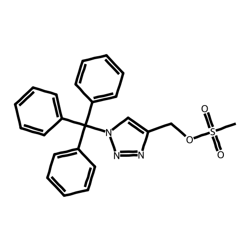 CS(=O)(=O)OCc1cn(C(c2ccccc2)(c2ccccc2)c2ccccc2)nn1